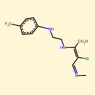 C/N=C\C(Br)=C(/NCCNc1ccc(C(F)(F)F)cc1)C(=O)O